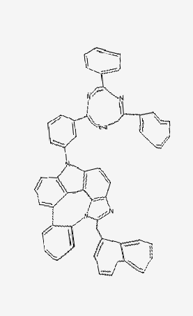 c1ccc(-c2nc(-c3ccccc3)nc(-c3cccc(-n4c5cccc6c7ccccc7n7c(-c8cccc9ccccc89)nc8ccc4c(c65)c87)c3)n2)cc1